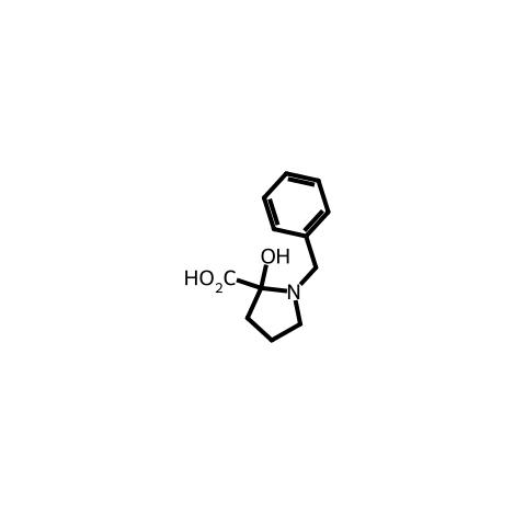 O=C(O)C1(O)CCCN1Cc1ccccc1